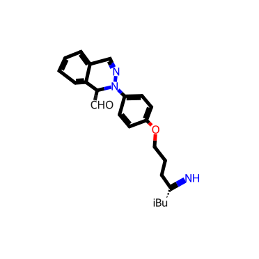 CC[C@@H](C)C(=N)CCCOc1ccc(N2N=Cc3ccccc3C2C=O)cc1